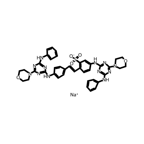 O=S(=O)([O-])c1cc(Nc2nc(Nc3ccccc3)nc(N3CCOCC3)n2)ccc1/C=C/c1ccc(Nc2nc(Nc3ccccc3)nc(N3CCOCC3)n2)cc1.[Na+]